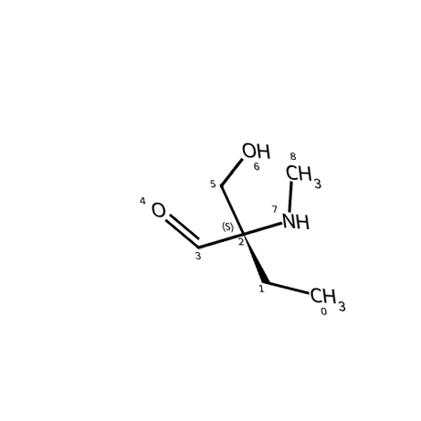 CC[C@@](C=O)(CO)NC